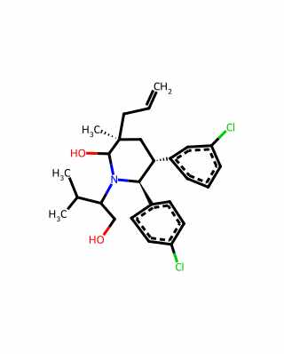 C=CC[C@@]1(C)C[C@H](c2cccc(Cl)c2)[C@@H](c2ccc(Cl)cc2)N(C(CO)C(C)C)C1O